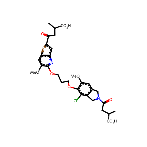 COc1cc2sc(C(=O)CC(C)C(=O)O)cc2nc1OCCCOc1c(OC)cc2c(c1Cl)CN(C(=O)CC(C)C(=O)O)C2